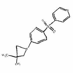 CC1(C)CN(c2ccc(S(=O)(=O)c3ccncc3)cc2)C1